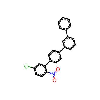 O=[N+]([O-])c1ccc(Cl)cc1-c1ccc(-c2cccc(-c3ccccc3)c2)cc1